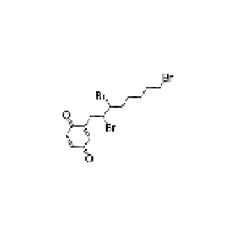 O=C1C=CC(=O)C(CC(Br)C(Br)CCCCCBr)=C1